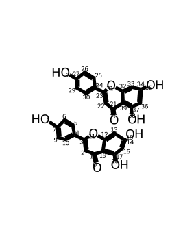 O=c1cc(-c2ccc(O)cc2)oc2cc(O)cc(O)c12.O=c1cc(-c2ccc(O)cc2)oc2cc(O)cc(O)c12